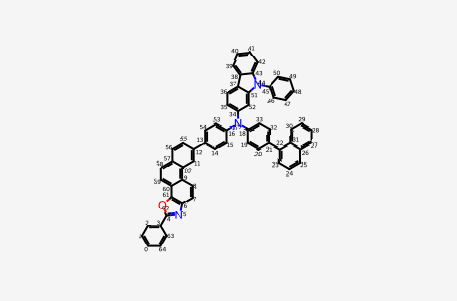 c1ccc(-c2nc3ccc4c5cc(-c6ccc(N(c7ccc(-c8cccc9ccccc89)cc7)c7ccc8c9ccccc9n(-c9ccccc9)c8c7)cc6)ccc5ccc4c3o2)cc1